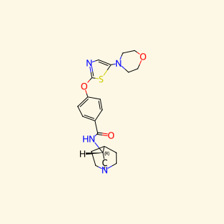 O=C(N[C@H]1CN2CCC1CC2)c1ccc(Oc2ncc(N3CCOCC3)s2)cc1